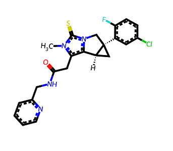 Cn1c(CC(=O)NCc2ccccn2)c2n(c1=S)C[C@@]1(c3cc(Cl)ccc3F)C[C@@H]21